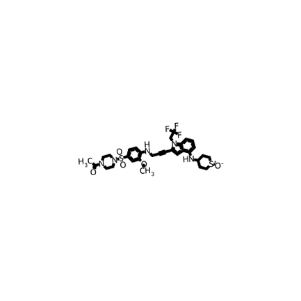 COc1cc(S(=O)(=O)N2CCN(C(C)=O)CC2)ccc1NCC#Cc1cc2c(NC3CC[S+]([O-])CC3)cccc2n1CC(F)(F)F